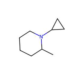 CC1CCCCN1C1CC1